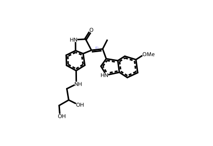 COc1ccc2[nH]cc(/C(C)=C3/C(=O)Nc4ccc(NCC(O)CO)cc43)c2c1